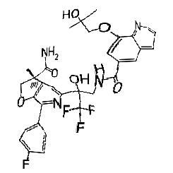 CC(C)(O)COc1cc(C(=O)NCC(O)(c2cc3c(c(-c4ccc(F)cc4)n2)OC[C@]3(C)C(N)=O)C(F)(F)F)cc2cccnc12